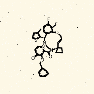 Cc1ccsc1[C@H]1c2ccc(F)c(F)c2OC/C=C/C2(CCC2)N2CN1n1ccc(=O)c(OCc3ccccc3)c1C2=O